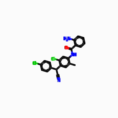 Cc1cc(C(C#N)c2ccc(Cl)cc2)c(Cl)cc1NC(=O)c1ccccc1N